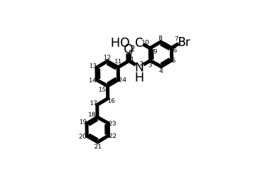 O=C(Nc1ccc(Br)cc1C(=O)O)c1cccc(CCc2ccccc2)c1